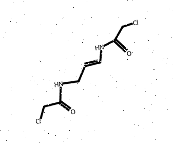 O=C(CCl)NC=CCNC(=O)CCl